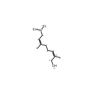 CCN(CC)CC=C(C)CCC=C(C)CO